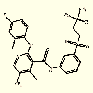 CCC(N)(CC)CCS(=N)(=O)c1cccc(NC(=O)c2c(Oc3ccc(F)nc3C)ncc(C(F)(F)F)c2C)c1